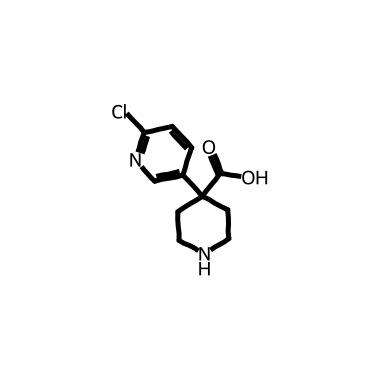 O=C(O)C1(c2ccc(Cl)nc2)CCNCC1